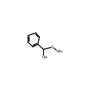 CCCCOC(O)c1ccccc1